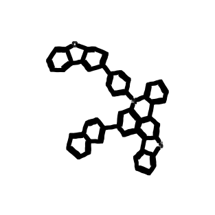 c1cc(-c2ccc3ccccc3c2)cc(N(c2ccc(-c3ccc4oc5ccccc5c4c3)cc2)c2ccccc2-c2ccc3c(c2)sc2ccccc23)c1